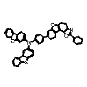 c1ccc(-c2nc3ccc4oc5cc(-c6ccc(N(c7ccc8c(c7)oc7ccccc78)c7ccc8sc9ccccc9c8c7)cc6)ccc5c4c3o2)cc1